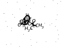 C=C(C)C(=O)OC12CC3CC(C1)OC(=O)C(C2)C(=O)O3